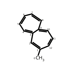 CC1=CC2=CC=CC=CC2=CC=C1